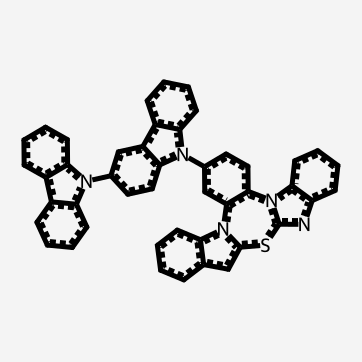 c1ccc2c(c1)cc1sc3nc4ccccc4n3c3ccc(-n4c5ccccc5c5cc(-n6c7ccccc7c7ccccc76)ccc54)cc3n12